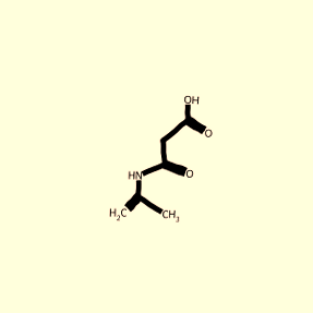 C=C(C)NC(=O)CC(=O)O